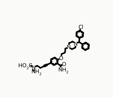 NC(=O)c1cc(C#CCCN(N)C(=O)O)ccc1OCCCN1CCN(C(c2ccccc2)c2ccc(Cl)cc2)CC1